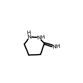 N=C1CCCNN1